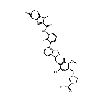 COc1c(CN2CCC(C(=O)O)C2)cc(Cl)c(OC2CCc3c(-c4cccc(NC(=O)c5nc6c(n5C)CCN(C)C6)c4C)cccc32)c1F